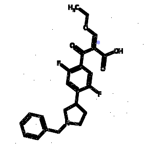 CCO/C=C(/C(=O)O)C(=O)c1cc(F)c(C2CCN(Cc3ccccc3)C2)cc1F